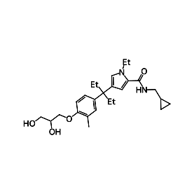 CCn1cc(C(CC)(CC)c2ccc(OCC(O)CO)c(C)c2)cc1C(=O)NCC1CC1